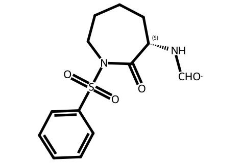 O=[C]N[C@H]1CCCCN(S(=O)(=O)c2ccccc2)C1=O